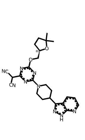 CC1(C)CC[C@H](COc2nc(C(C#N)C#N)nc(N3CCC(c4n[nH]c5ncccc45)CC3)n2)O1